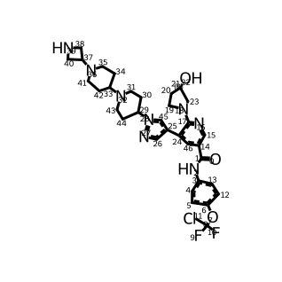 O=C(Nc1ccc(OC(F)(F)Cl)cc1)c1cnc(N2CC[C@@H](O)C2)c(-c2cnn(C3CCN(C4CCN(C5CNC5)CC4)CC3)c2)c1